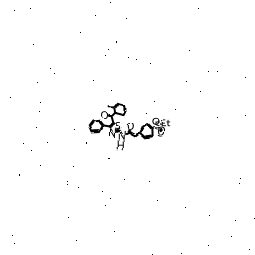 CCS(=O)(=O)c1ccc(CC(=O)Nc2nc(-c3ccccc3)c(C(=O)c3ccccc3C)s2)cc1